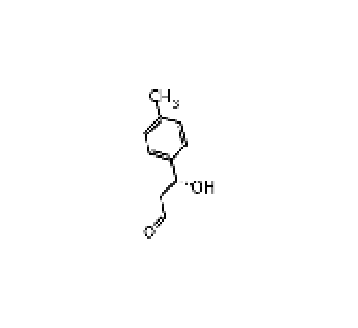 Cc1ccc([C@H](O)CC=O)cc1